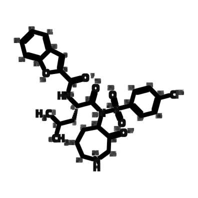 CC(C)C[C@H](NC(=O)c1cc2ccccc2o1)C(=O)N(C1CCCNCC1=O)S(=O)(=O)c1ccc(Cl)cc1